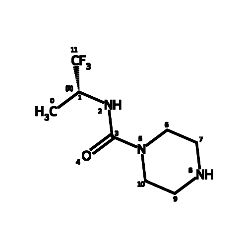 C[C@@H](NC(=O)N1CCNCC1)C(F)(F)F